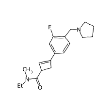 CCN(C)C(=O)C1C=C(c2ccc(CN3CCCC3)c(F)c2)C1